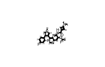 CN(C)C12CC(C(=O)Nc3nc4c(-c5cn(C)nc5-c5ccc(F)cc5)ncnc4cc3OC(F)F)(C1)C2